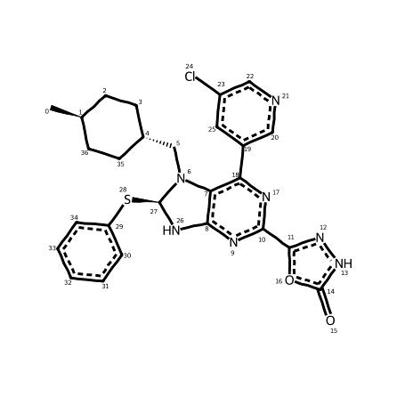 C[C@H]1CC[C@H](CN2c3c(nc(-c4n[nH]c(=O)o4)nc3-c3cncc(Cl)c3)N[C@H]2Sc2ccccc2)CC1